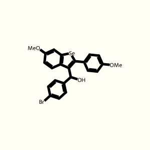 COc1ccc(-c2[se]c3cc(OC)ccc3c2C(O)c2ccc(Br)cc2)cc1